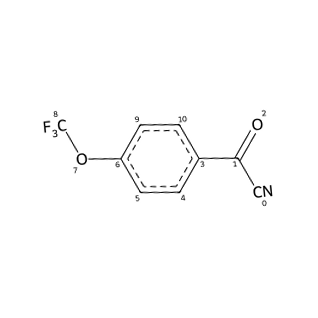 N#CC(=O)c1ccc(OC(F)(F)F)cc1